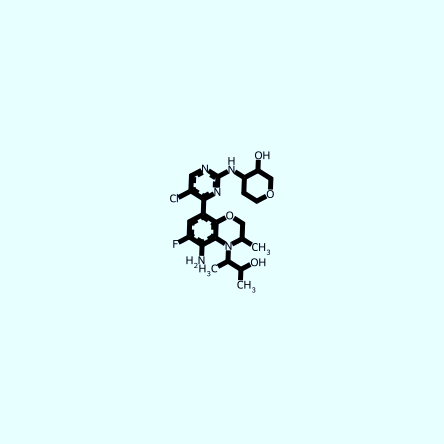 CC(O)C(C)N1c2c(N)c(F)cc(-c3nc(NC4CCOCC4O)ncc3Cl)c2OCC1C